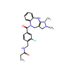 CCC(=O)NCc1ccc(C(=O)N2CC3=C(Nc4ccccc42)N(C)N(C)C3)cc1F